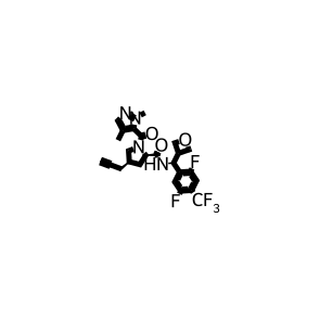 C#CC[C@@H]1C[C@H](C(=O)N[C@@H](c2cc(F)c(C(F)(F)F)cc2F)C2COC2)N(C(=O)c2c(C)cnn2C)C1